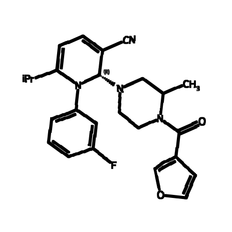 CC(C)C1=CC=C(C#N)[C@H](N2CCN(C(=O)c3ccoc3)C(C)C2)N1c1cccc(F)c1